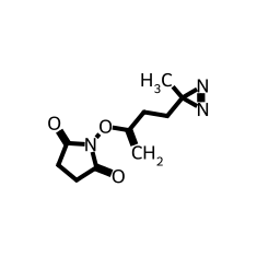 C=C(CCC1(C)N=N1)ON1C(=O)CCC1=O